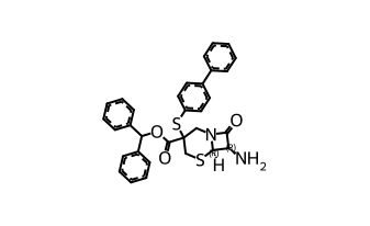 N[C@@H]1C(=O)N2CC(Sc3ccc(-c4ccccc4)cc3)(C(=O)OC(c3ccccc3)c3ccccc3)CS[C@H]12